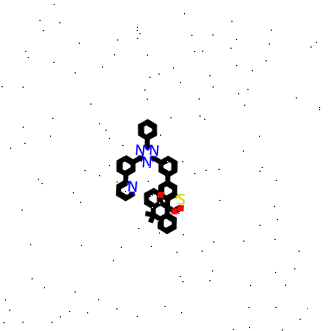 CC1(C)c2ccccc2C2(c3ccccc3Sc3cc(-c4cccc(-c5nc(-c6ccccc6)nc(-c6cccc(-c7ccccn7)c6)n5)c4)ccc32)c2ccccc21